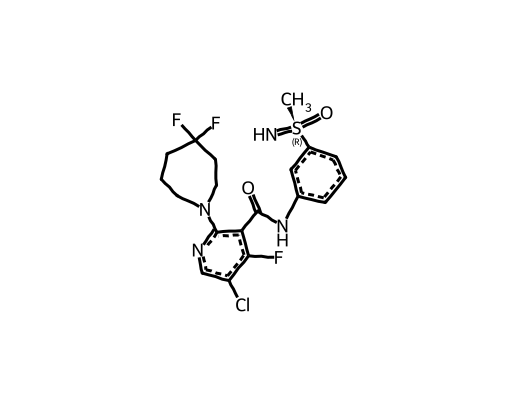 C[S@@](=N)(=O)c1cccc(NC(=O)c2c(N3CCCC(F)(F)CC3)ncc(Cl)c2F)c1